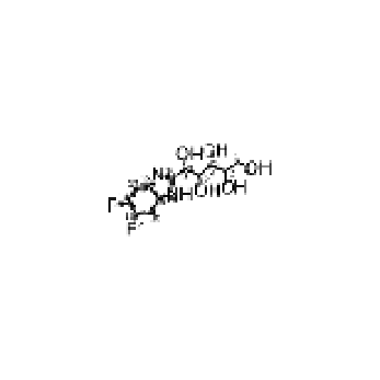 OCC(O)[C@@H](O)C(O)[C@H](O)c1nc2cc(F)c(F)cc2[nH]1